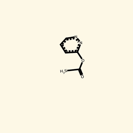 O=C([SiH3])Oc1cccnn1